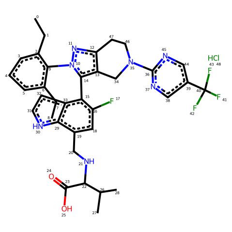 CCc1cccc(CC)c1-n1nc2c(c1-c1c(F)cc(CNC(C(=O)O)C(C)C)c3[nH]ccc13)CN(c1ncc(C(F)(F)F)cn1)CC2.Cl